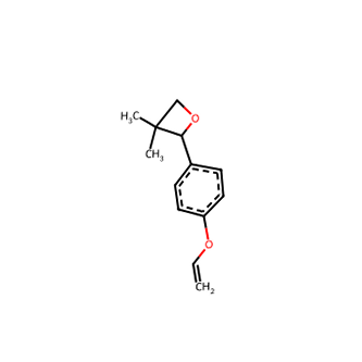 C=COc1ccc(C2OCC2(C)C)cc1